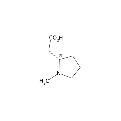 CN1CCC[C@H]1CC(=O)O